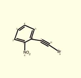 O=[N+]([O-])c1ccccc1C#CBr